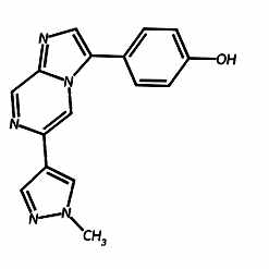 Cn1cc(-c2cn3c(-c4ccc(O)cc4)cnc3cn2)cn1